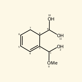 COC(O)C1=CC=CCC1C(O)O